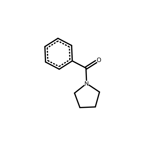 O=C(c1ccccc1)N1CCCC1